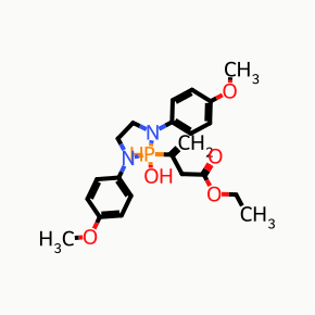 C=C(CC(=O)OCC)[PH]1(O)N(c2ccc(OC)cc2)CCN1c1ccc(OC)cc1